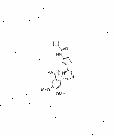 COc1cc(C(N)=O)c(-c2cncc(-c3cc(NC(=O)C4CCC4)cs3)n2)cc1OC